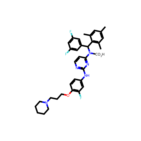 Cc1cc(C)c(C(c2cc(F)cc(F)c2)N(C(=O)O)c2ccnc(Nc3ccc(OCCCN4CCCCC4)c(F)c3)n2)c(C)c1